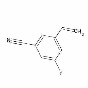 C=Cc1cc(F)cc(C#N)c1